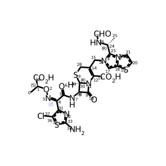 C[C@H](O/N=C(\C(=O)N[C@@H]1C(=O)N2C(C(=O)O)=C(C[n+]3cc4sccn4c3[C@@H](C)NC=O)CS[C@H]12)c1nc(N)sc1Cl)C(=O)O